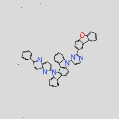 c1ccc(-c2ccc3nc(-n4c5ccccc5c5ccc6c(c7ccccc7n6-c6ccnc(-c7ccc8oc9ccccc9c8c7)n6)c54)ccc3n2)cc1